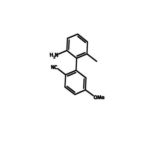 COc1ccc(C#N)c(-c2c(C)cccc2N)c1